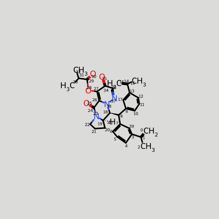 C=C(C)c1cccc(C(c2cccc(C(=C)C)c2)[C@H]2[C@H]3CCCN3C(=O)c3c(OC(=O)C(C)C)c(=O)cnn32)c1